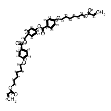 C=CC(=O)OCCCCCCOc1ccc(C(=O)OCc2ccc(OC(=O)c3ccc(OCCCCCCOC(=O)C=C)cc3)cc2)cc1